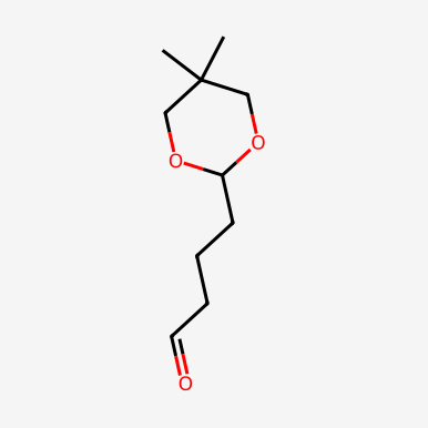 CC1(C)COC(CCCC=O)OC1